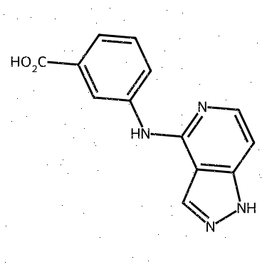 O=C(O)c1cccc(Nc2nccc3[nH]ncc23)c1